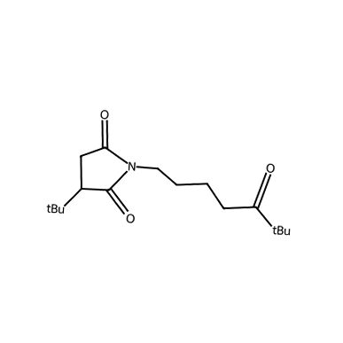 CC(C)(C)C(=O)CCCCN1C(=O)CC(C(C)(C)C)C1=O